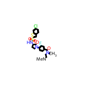 CNCCN(C)C(=O)c1ccc(N2CCC(NS(=O)(=O)c3cc4ccc(Cl)cc4s3)C2=O)c(F)c1